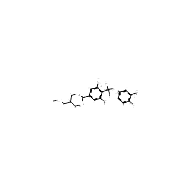 COCC1COC(c2cc(F)c(C(F)(F)Oc3ccc(F)c(F)c3)c(F)c2)OC1